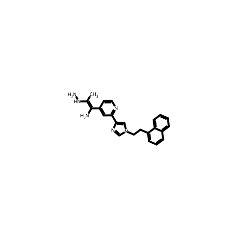 C/C(NN)=C(/N)c1ccnc(-c2cn(CCc3cccc4ccccc34)cn2)c1